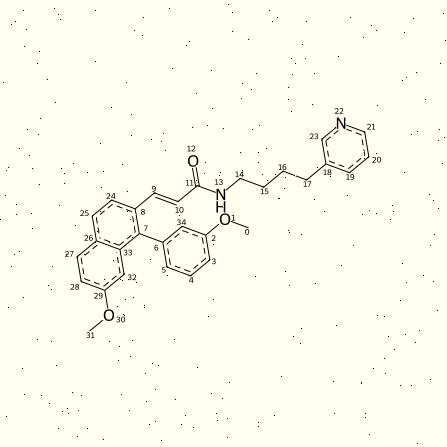 COc1cccc(-c2c(C=CC(=O)NCCCCc3cccnc3)ccc3ccc(OC)cc23)c1